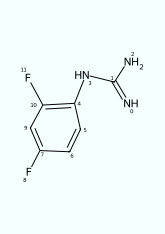 N=C(N)Nc1ccc(F)cc1F